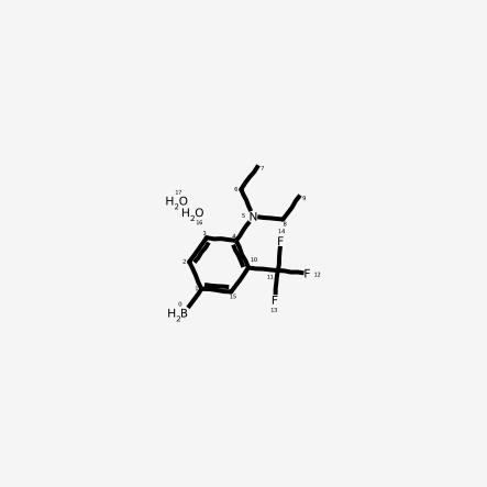 Bc1ccc(N(CC)CC)c(C(F)(F)F)c1.O.O